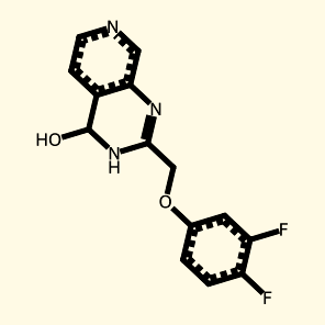 OC1NC(COc2ccc(F)c(F)c2)=Nc2cnccc21